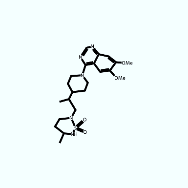 COc1cc2ncnc(N3CCC(C(C)CN4CCC(C)NS4(=O)=O)CC3)c2cc1OC